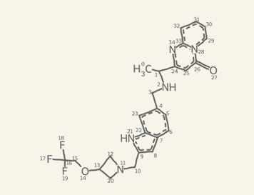 CC(NCc1ccc2cc(CN3CC(OCC(F)(F)F)C3)[nH]c2c1)c1cc(=O)n2ccccc2n1